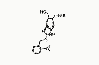 COc1cc2[nH]c(SCc3ccccc3N(C)C)nc2cc1CO